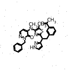 CC(=O)c1cccc(CC(c2cc[nH]n2)c2nc(N(C)c3ccnn(Cc4ccccc4)c3=O)c(C)s2)c1